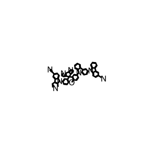 N#Cc1ccc2c(c1)c1ccccc1n2-c1ccc2c(c1)c1ccccc1n2-c1ccc2c(c1)C1(c3cc(-n4c5ccc(C#N)cc5c5ccncc54)ccc3O2)c2cccnc2-c2ncccc21